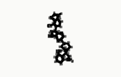 Cn1cnc2c(Cl)c(-c3n[nH]c4nc(N5CC[C@@H]6[C@H](C5)[C@@]6(CN)c5ccccc5F)cnc34)ccc21